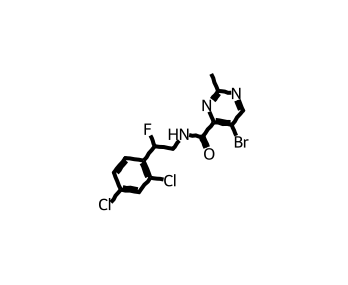 Cc1ncc(Br)c(C(=O)NCC(F)c2ccc(Cl)cc2Cl)n1